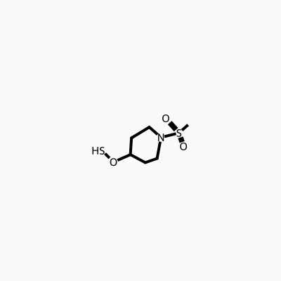 CS(=O)(=O)N1CCC(OS)CC1